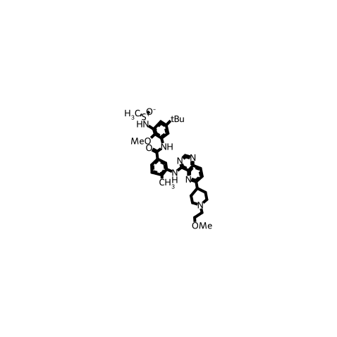 COCCN1CCC(c2ccc3ncnc(Nc4cc(C(=O)Nc5cc(C(C)(C)C)cc(N[S+](C)[O-])c5OC)ccc4C)c3n2)CC1